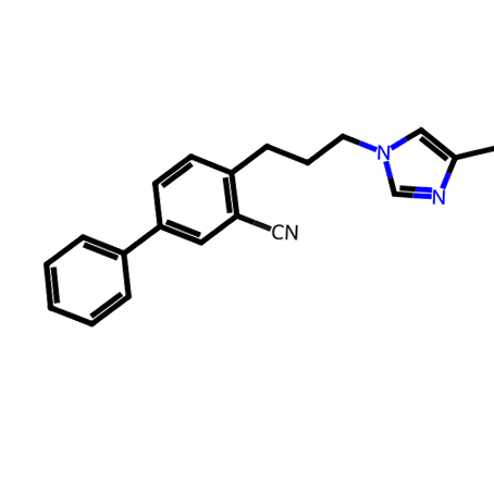 Cc1cn(CCCc2ccc(-c3ccccc3)cc2C#N)cn1